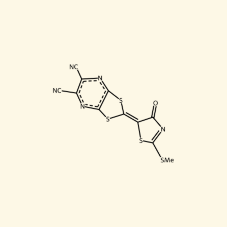 CSC1=NC(=O)C(=C2Sc3nc(C#N)c(C#N)nc3S2)S1